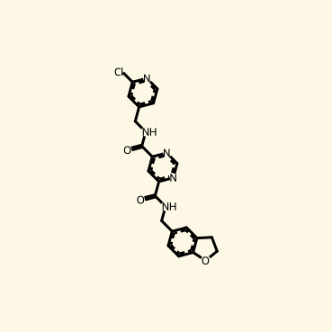 O=C(NCc1ccnc(Cl)c1)c1cc(C(=O)NCc2ccc3c(c2)CCO3)ncn1